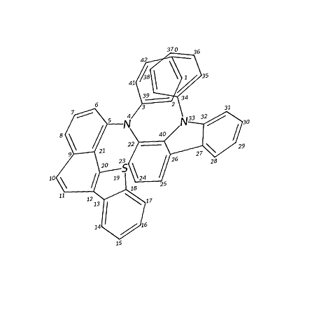 c1ccc(N(c2cccc3ccc4c5ccccc5sc4c23)c2cccc3c4ccccc4n(-c4ccccc4)c23)cc1